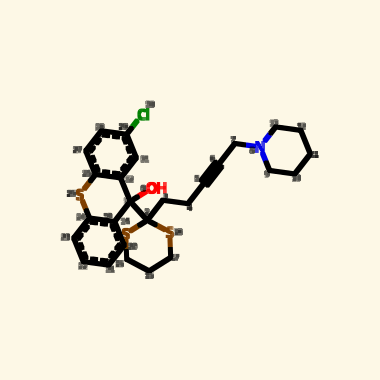 OC1(C2(CCC#CCN3CCCCC3)SCCCS2)c2ccccc2Sc2ccc(Cl)cc21